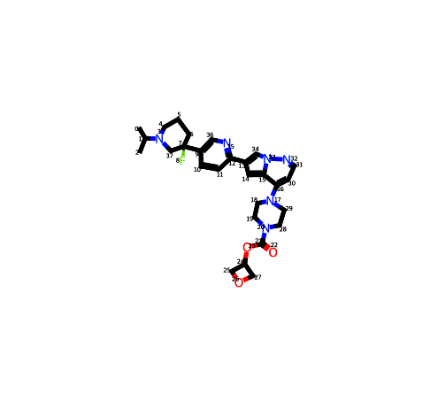 CC(C)N1CCC[C@](F)(c2ccc(-c3cc4c(N5CCN(C(=O)OC6COC6)CC5)ccnn4c3)nc2)C1